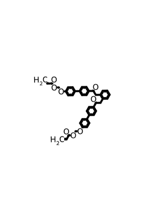 C=CC(=O)OCOc1ccc(-c2ccc(C(=O)Cc3ccccc3CC(=O)c3ccc(-c4ccc(OCOC(=O)C=C)cc4)cc3)cc2)cc1